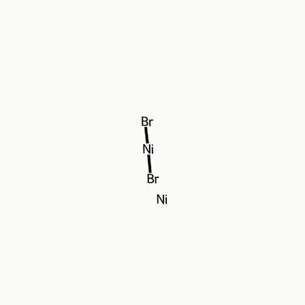 [Br][Ni][Br].[Ni]